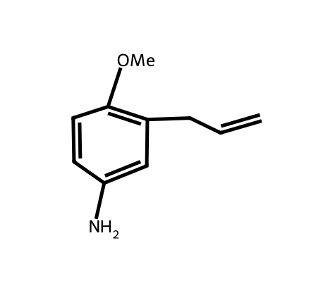 C=CCc1cc(N)ccc1OC